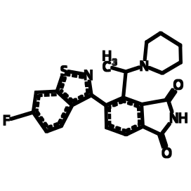 CC(c1c(-c2nsc3cc(F)ccc23)ccc2c1C(=O)NC2=O)N1CCCCC1